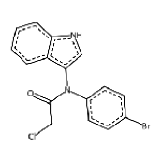 O=C(CCl)N(c1ccc(Br)cc1)c1c[nH]c2ccccc12